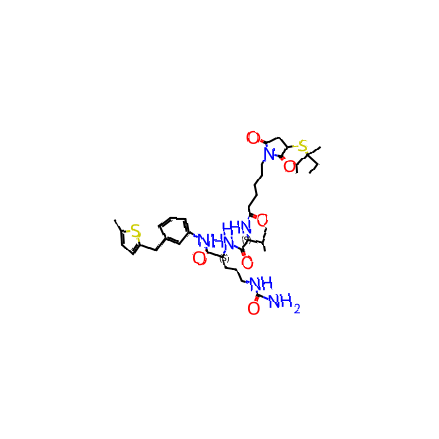 CCC(C)(CC)SC1CC(=O)N(CCCCCC(=O)N[C@H](C(=O)N[C@@H](CCCNC(N)=O)C(=O)Nc2cccc(Cc3ccc(C)s3)c2)C(C)C)C1=O